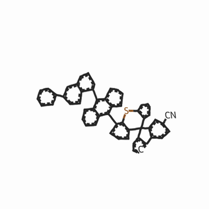 N#Cc1ccc2c(c1)C1(c3ccccc3Sc3c(-c4c5ccccc5c(-c5cccc6cc(-c7ccccc7)ccc56)c5ccccc45)cccc31)c1ccccc1-2